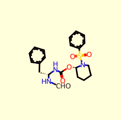 O=CN[C@H](Cc1ccccc1)NC(=O)O[C@H]1CCCCN1S(=O)(=O)c1ccccc1